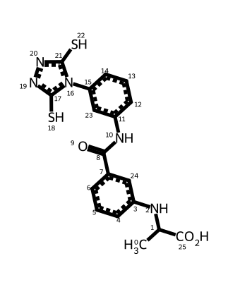 CC(Nc1cccc(C(=O)Nc2cccc(-n3c(S)nnc3S)c2)c1)C(=O)O